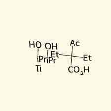 CC(C)O.CC(C)O.CCC(CC)(C(C)=O)C(=O)O.[Ti]